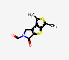 Cc1sc(C)c2c3c(sc12)C(=O)N(C=O)C3